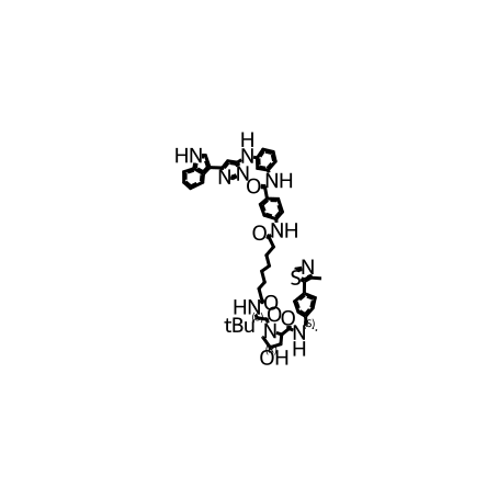 Cc1ncsc1-c1ccc([C@H](C)NC(=O)C2C[C@@H](O)CN2C(=O)[C@@H](NC(=O)CCCCCCC(=O)Nc2ccc(C(=O)Nc3cccc(Nc4cc(-c5c[nH]c6ccccc56)ncn4)c3)cc2)C(C)(C)C)cc1